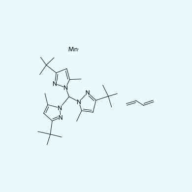 C=CC=C.Cc1cc(C(C)(C)C)nn1C(n1nc(C(C)(C)C)cc1C)n1nc(C(C)(C)C)cc1C.[Mn]